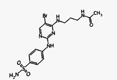 CC(=O)NCCCNc1nc(Nc2ccc(S(N)(=O)=O)cc2)ncc1Br